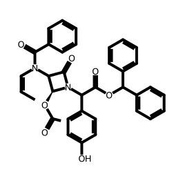 C/C=C\N(C(=O)c1ccccc1)C1C(=O)N(C(C(=O)OC(c2ccccc2)c2ccccc2)c2ccc(O)cc2)[C@H]1OC(C)=O